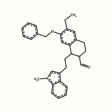 COc1cc2c(cc1OCc1ccccc1)C(CCc1cn(C)c3ccccc13)N(C=O)CC2